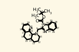 CC(C)(C)OC(=O)n1c(CN2CCCC3CCc4cccnc4C32)nc2ccccc21